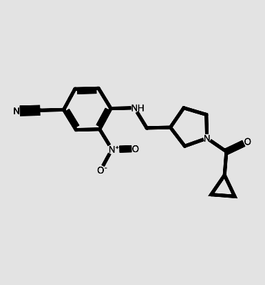 N#Cc1ccc(NCC2CCN(C(=O)C3CC3)C2)c([N+](=O)[O-])c1